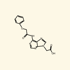 O=C(O)Cn1cnc2c(NC(=O)COc3ccccc3)ncnc21